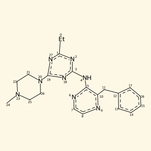 CCc1nc(Nc2nccnc2Cc2ccccc2)nc(N2CCN(C)CC2)n1